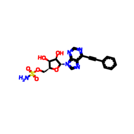 NS(=O)(=O)OC[C@H]1O[C@@H](n2cnc3c(C#Cc4ccccc4)ncnc32)[C@H](O)[C@@H]1O